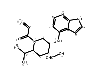 C=CC(=O)N1C[C@H](Nc2ncnc3[nH]ccc23)CC[C@H]1[C@@H](C)O.O=CO